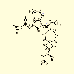 C/C=C\c1nc(NC(=O)C2C=C2)nn1/C(=C/C)C1CCCC2(CC1)CN(C(=O)CC(F)(F)F)C2